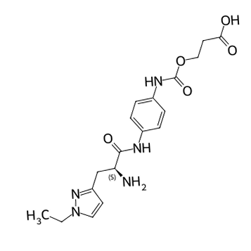 CCn1ccc(C[C@H](N)C(=O)Nc2ccc(NC(=O)OCCC(=O)O)cc2)n1